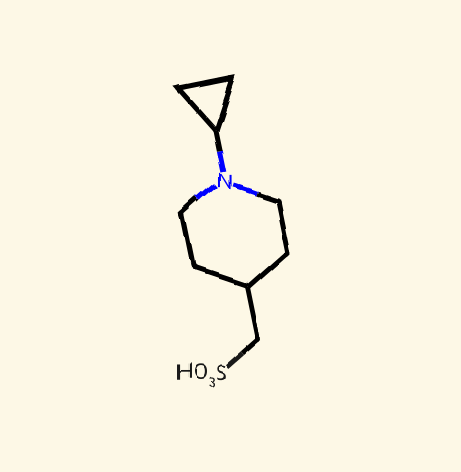 O=S(=O)(O)CC1CCN(C2CC2)CC1